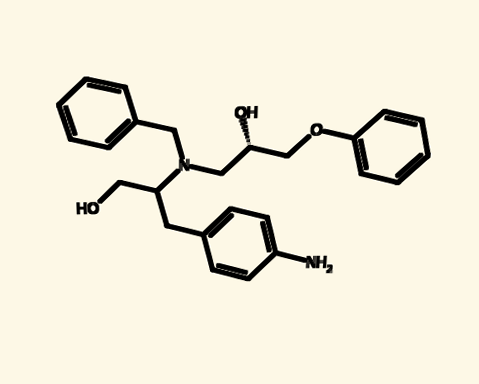 Nc1ccc(CC(CO)N(Cc2ccccc2)C[C@H](O)COc2ccccc2)cc1